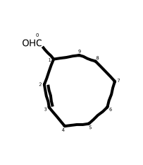 O=CC1C=CCCCCCC1